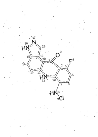 O=c1c2c(F)ccc(NCl)c2[nH]c2ccc3[nH]ncc3c12